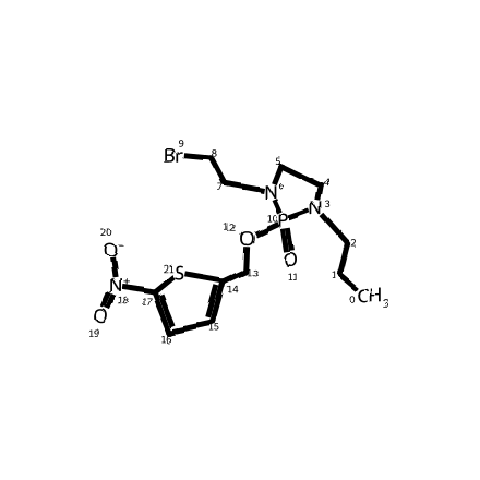 CCCN1CCN(CCBr)P1(=O)OCc1ccc([N+](=O)[O-])s1